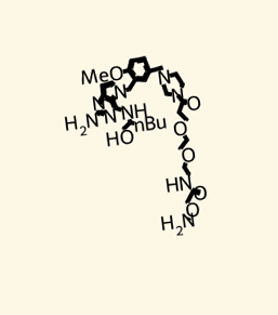 CCCCC(CO)Nc1nc(N)nc2ccn(Cc3cc(CN4CCN(C(=O)CCOCCOCCNC(=O)CON)CC4)ccc3OC)c12